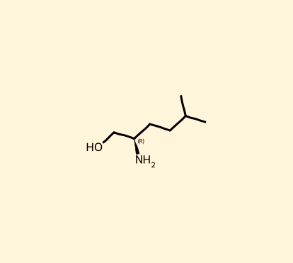 CC(C)CC[C@@H](N)CO